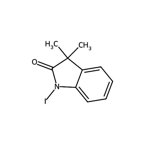 CC1(C)C(=O)N(I)c2ccccc21